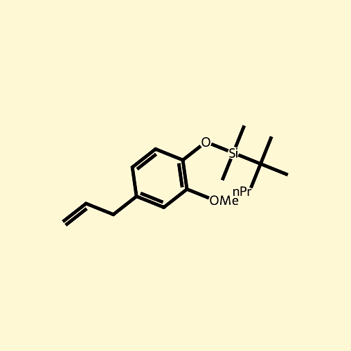 C=CCc1ccc(O[Si](C)(C)C(C)(C)CCC)c(OC)c1